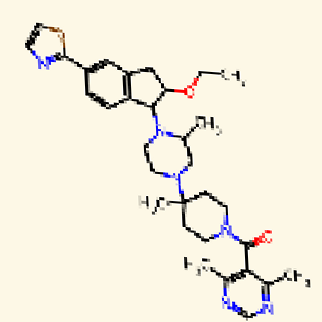 CCOC1Cc2cc(-c3nccs3)ccc2C1N1CCN(C2(C)CCN(C(=O)c3c(C)ncnc3C)CC2)CC1C